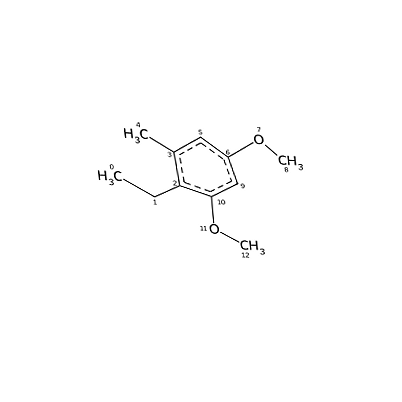 CCc1c(C)cc(OC)cc1OC